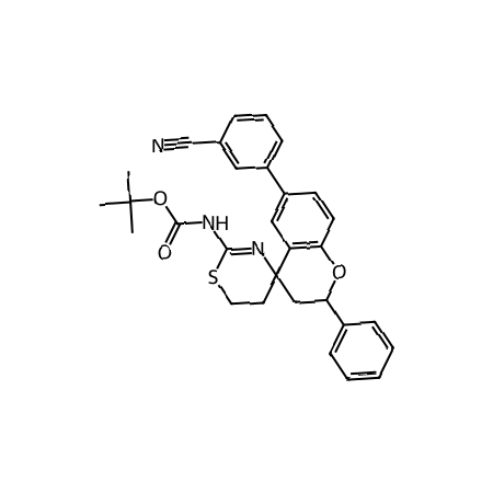 CC(C)(C)OC(=O)NC1=NC2(CCS1)CC(c1ccccc1)Oc1ccc(-c3cccc(C#N)c3)cc12